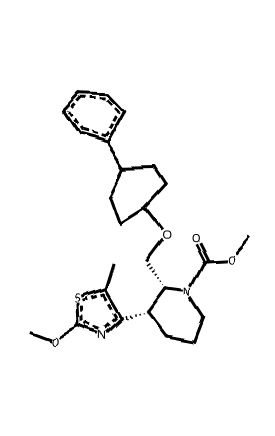 COC(=O)N1CCC[C@H](c2nc(OC)sc2C)[C@@H]1COC1CCC(c2ccccc2)CC1